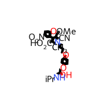 COC(=O)C1=C(C#N)N(CCCCOc2ccc(OCC(O)CNC(C)C)cc2)C(C)C(C(=O)O)=C1c1cccc([N+](=O)[O-])c1